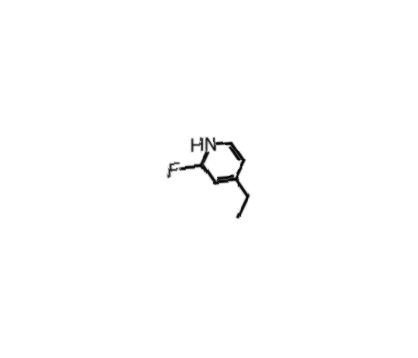 CCC1=CC(F)NC=C1